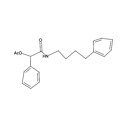 CC(=O)OC(C(=O)NCCCCc1ccccc1)c1ccccc1